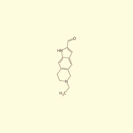 CCN1CCc2cc3[nH]c(C=O)cc3cc2C1